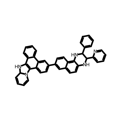 C1=CC2Nc3c(c4ccc(-c5ccc6c7c(ccc6c5)NC(c5ccccn5)C(c5ccccc5)N7)cc4c4ccccc34)N2C=C1